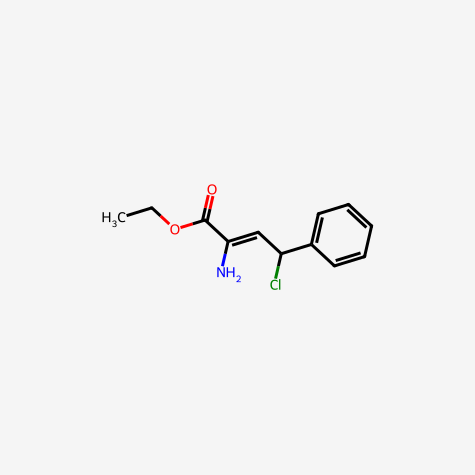 CCOC(=O)C(N)=CC(Cl)c1ccccc1